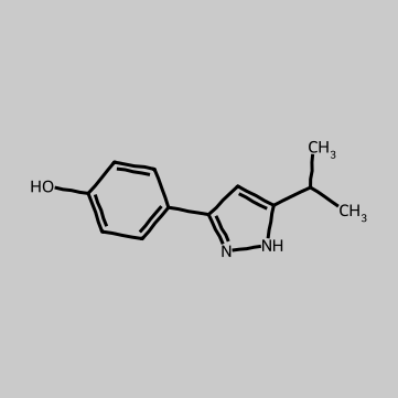 CC(C)c1cc(-c2ccc(O)cc2)n[nH]1